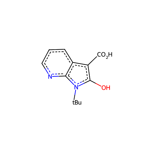 CC(C)(C)n1c(O)c(C(=O)O)c2cccnc21